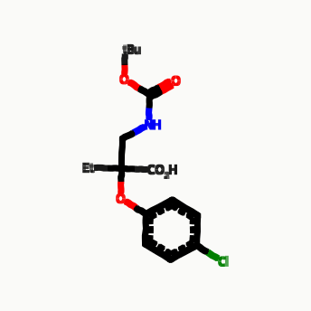 CCC(CNC(=O)OC(C)(C)C)(Oc1ccc(Cl)cc1)C(=O)O